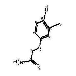 Cc1cc(OCC(N)=O)ccc1Cl